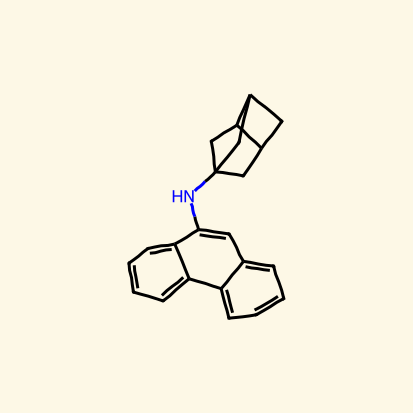 c1ccc2c(c1)cc(NC13CC4CC(C1)C4C3)c1ccccc12